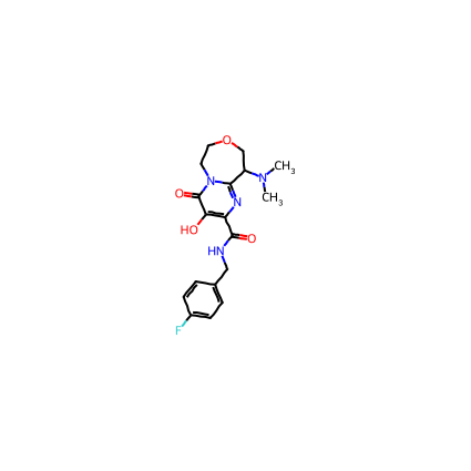 CN(C)C1COCCn2c1nc(C(=O)NCc1ccc(F)cc1)c(O)c2=O